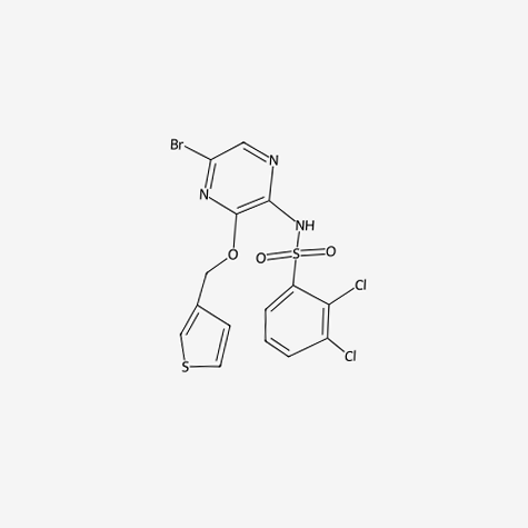 O=S(=O)(Nc1ncc(Br)nc1OCc1ccsc1)c1cccc(Cl)c1Cl